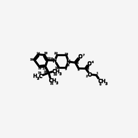 CCOC(=O)CC(=O)N1CCN(c2ccccc2C(C)(C)C)CC1